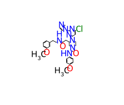 COc1ccc(NC(=O)N2CCN(c3cc(Cl)nc(-n4ccnc4)n3)C(CC(=O)NCCc3cccc(OC)c3)C2)cc1